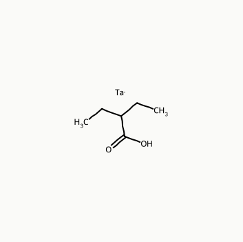 CCC(CC)C(=O)O.[Ta]